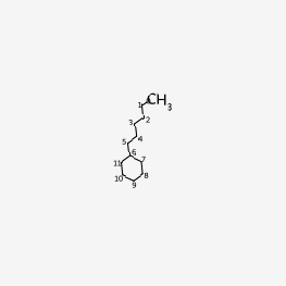 CCCCCCC1CCCCC1